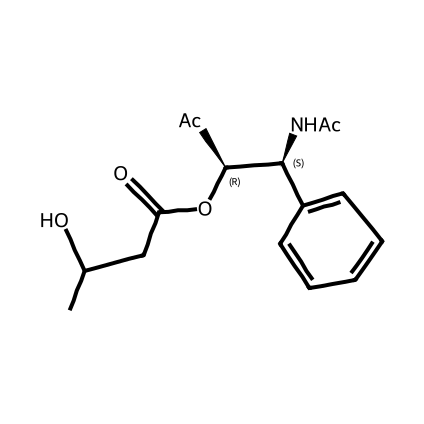 CC(=O)N[C@@H](c1ccccc1)[C@@H](OC(=O)CC(C)O)C(C)=O